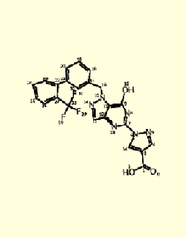 O=C(O)c1cnn(-c2nc(O)c3c(cnn3Cc3cccc(-c4ccccc4C(F)(F)F)c3)n2)c1